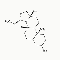 CO[C@H]1CC[C@]2(C)CCC3[C@H](CCC4CC(O)CC[C@]43C)C12